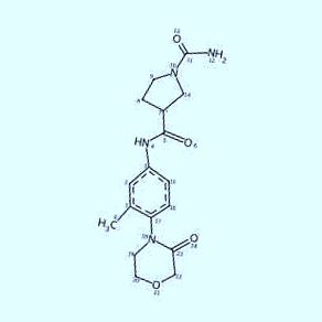 Cc1cc(NC(=O)[C]2CCN(C(N)=O)C2)ccc1N1CCOCC1=O